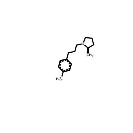 C=C1CCCN1CCCc1ccc(C)cc1